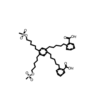 CS(=O)(=O)OCCCCCc1cc(CCCCCc2ccccc2C(=O)O)c(CCCCCc2ccccc2C(=O)O)cc1CCCCCOS(C)(=O)=O